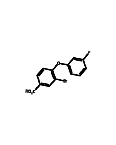 O=C(O)c1ccc(Oc2cccc(F)c2)c(Br)c1